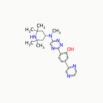 CN(c1cnc(-c2ccc(-c3cnccn3)cc2O)nn1)C1CC(C)(C)NC(C)(C)C1